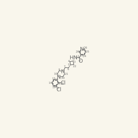 O=C(N[C@H]1C[C@H](CCN2CCN(c3cccc(Cl)c3Cl)CC2)C1)c1cccnc1